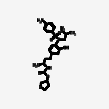 CC(C)CN(c1ccc(CCC(C)NC(=O)OC2CCOC2)cc1O)S(=O)(=O)c1ccc(N)cc1